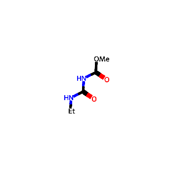 CCNC(=O)NC(=O)OC